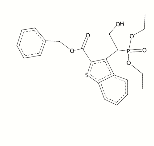 CCOP(=O)(OCC)C(CO)c1c(C(=O)OCc2ccccc2)sc2ccccc12